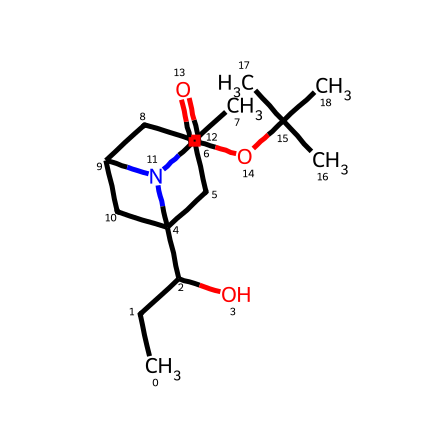 CCC(O)C12CC(C)CC(C1)N2C(=O)OC(C)(C)C